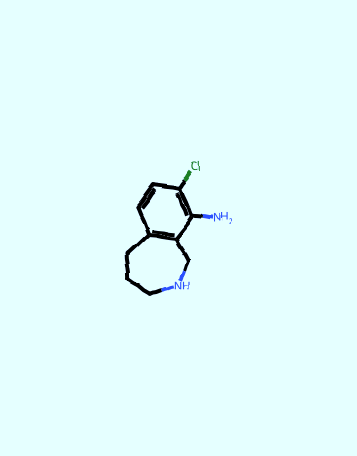 Nc1c(Cl)ccc2c1CNCCC2